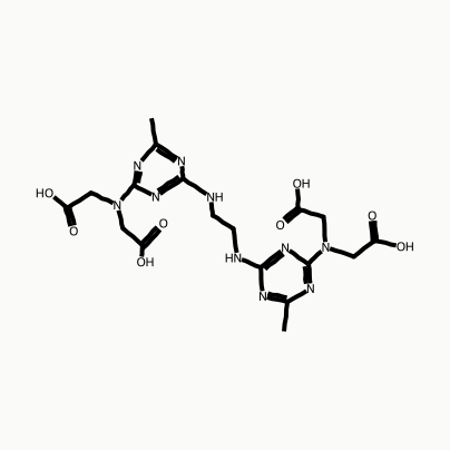 Cc1nc(NCCNc2nc(C)nc(N(CC(=O)O)CC(=O)O)n2)nc(N(CC(=O)O)CC(=O)O)n1